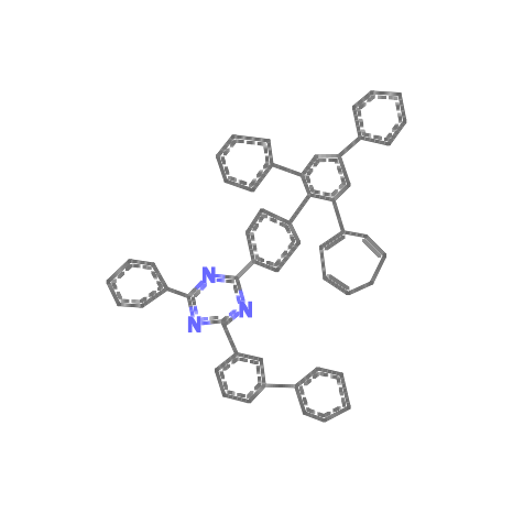 C1=CCC=CC(c2cc(-c3ccccc3)cc(-c3ccccc3)c2-c2ccc(-c3nc(-c4ccccc4)nc(-c4cccc(-c5ccccc5)c4)n3)cc2)=C1